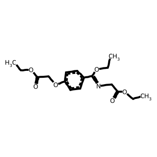 CCOC(=O)CN=C(OCC)c1ccc(OCC(=O)OCC)cc1